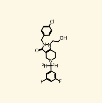 [2H]C([2H])(c1cc(F)cc(F)c1)N1CCc2c(c(=O)n(Cc3ccc(Cl)cc3)n2CCO)C1